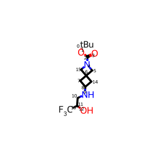 CC(C)(C)OC(=O)N1CC2(CC(NCC(O)C(F)(F)F)C2)C1